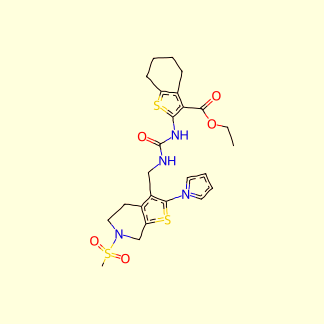 CCOC(=O)c1c(NC(=O)NCc2c(-n3cccc3)sc3c2CCN(S(C)(=O)=O)C3)sc2c1CCCC2